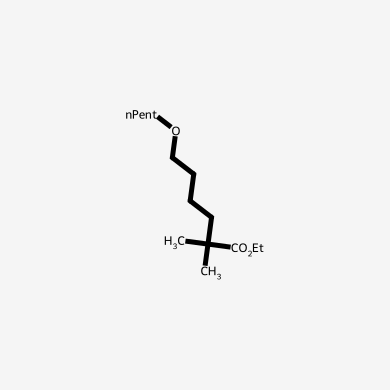 CCCCCOCCCCC(C)(C)C(=O)OCC